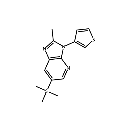 Cc1nc2cc([Si](C)(C)C)cnc2n1-c1ccsc1